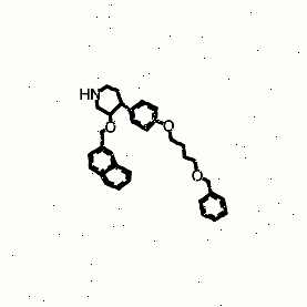 c1ccc(COCCCCOc2ccc(C3CCNCC3OCc3ccc4ccccc4c3)cc2)cc1